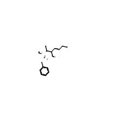 CCCCCC(C(=O)O)C(CC)N(C=O)OCc1ccccc1